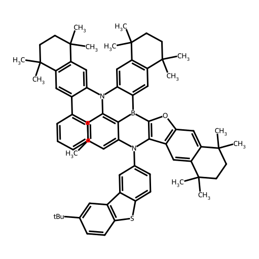 Cc1cc2c3c(c1)N(c1ccc4sc5ccc(C(C)(C)C)cc5c4c1)c1c(oc4cc5c(cc14)C(C)(C)CCC5(C)C)B3c1cc3c(cc1N2c1cc2c(cc1-c1ccccc1)C(C)(C)CCC2(C)C)C(C)(C)CCC3(C)C